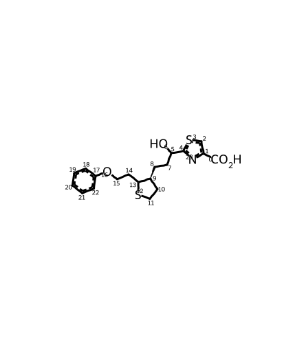 O=C(O)c1csc(C(O)CC[C@H]2CCSC2CCOc2ccccc2)n1